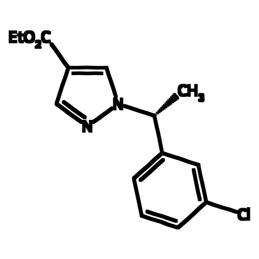 CCOC(=O)c1cnn([C@H](C)c2cccc(Cl)c2)c1